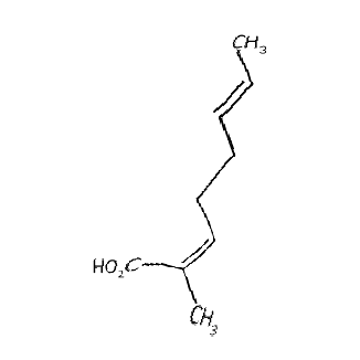 C/C=C/CC/C=C(/C)C(=O)O